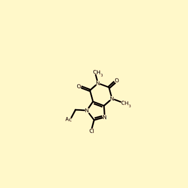 CC(=O)Cn1c(Cl)nc2c1c(=O)n(C)c(=O)n2C